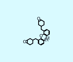 CCc1cccc(CC2CCC3OC3C2)c1Oc1c(CC)cccc1CC1CCC2OC2C1